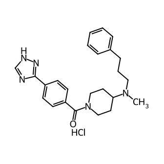 CN(CCCc1ccccc1)C1CCN(C(=O)c2ccc(-c3nc[nH]n3)cc2)CC1.Cl